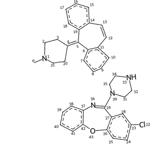 CN1CCC(=C2c3ccccc3C=Cc3ccccc32)CC1.Clc1ccc2c(c1)C(N1CCNCC1)=Nc1ccccc1O2